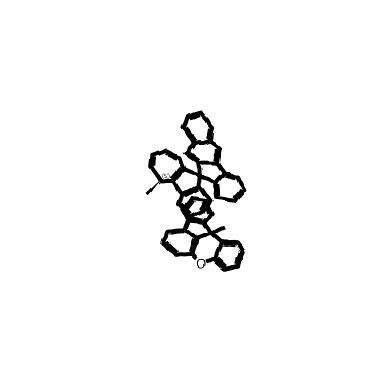 C[C@H]1C=CC=CC2=C1c1cc(-c3cccc4c3C(C)(c3ccccc3)c3ccccc3O4)ccc1C21c2ccccc2-c2cc3ccccc3cc21